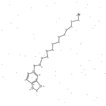 BrCCCCCCCCCCCCOCc1ccc2c(c1)OCO2